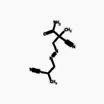 CC(C#N)CN=NCC(C)(C#N)C(N)=O